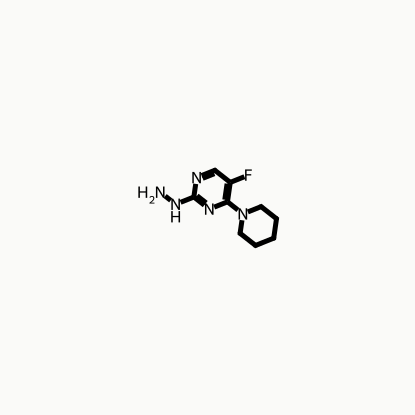 NNc1ncc(F)c(N2CCCCC2)n1